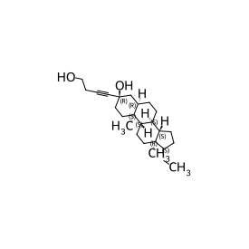 CC[C@H]1CC[C@H]2[C@@H]3CC[C@@H]4C[C@@](O)(C#CCCO)CC[C@]4(C)[C@H]3CC[C@]12C